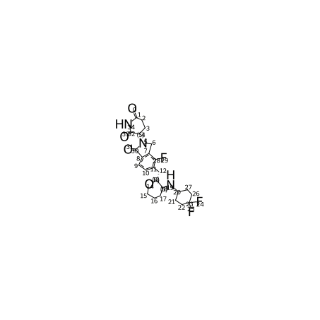 O=C1CC[C@H](N2Cc3c(ccc(C[C@H]4OCCC[C@@H]4NC4CCC(F)(F)CC4)c3F)C2=O)C(=O)N1